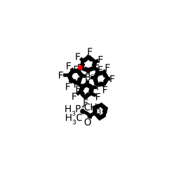 CC(C)([PH3+])C(=O)c1ccccc1.Fc1c(F)c(F)c([B-](c2c(F)c(F)c(F)c(F)c2F)(c2c(F)c(F)c(F)c(F)c2F)c2c(F)c(F)c(F)c(F)c2F)c(F)c1F